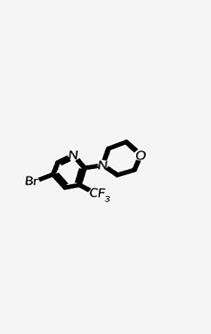 FC(F)(F)c1cc(Br)cnc1N1CCOCC1